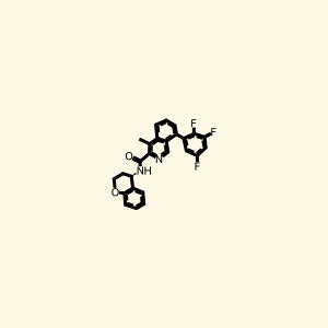 Cc1c(C(=O)N[C@H]2CCOc3ccccc32)ncc2c(-c3cc(F)cc(F)c3F)cccc12